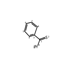 CC(C)C(=S)c1ccccc1